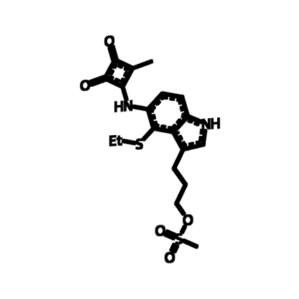 CCSc1c(Nc2c(C)c(=O)c2=O)ccc2[nH]cc(CCCOS(C)(=O)=O)c12